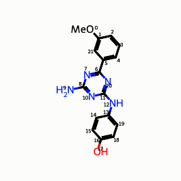 COc1cccc(-c2nc(N)nc(Nc3ccc(O)cc3)n2)c1